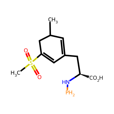 CC1C=C(C[C@H](NP)C(=O)O)C=C(S(C)(=O)=O)C1